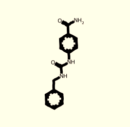 NC(=O)c1ccc(NC(=O)NCc2ccccc2)cc1